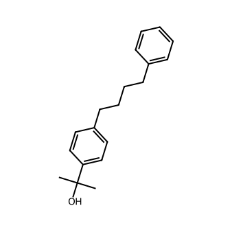 CC(C)(O)c1ccc(CCCCc2ccccc2)cc1